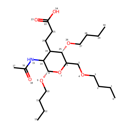 CCCCOCC1O[C@H](OCCCC)C(NC(C)=O)C(CCC(=O)O)[C@@H]1OCCCC